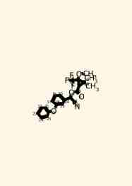 COC1(C(F)(F)F)C(C(=O)OC(C#N)c2cccc(Oc3ccccc3)c2)C1(C)C